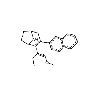 CCC(=NOC)C1=C(c2ccc3ccccc3c2)CC2CCC1N2